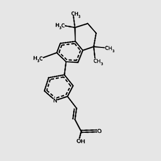 Cc1cc2c(cc1-c1ccnc(/C=C/C(=O)O)c1)C(C)(C)CCC2(C)C